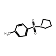 Cc1ccc(S(=O)(=O)N2[CH]CCC2)cc1